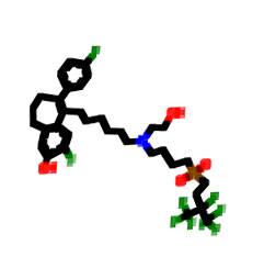 O=S(=O)(CCCCN(CCO)CCCCCCC1=C(c2ccc(F)cc2)CCCc2cc(O)c(F)cc21)CCC(F)(C(F)(F)F)C(F)(F)F